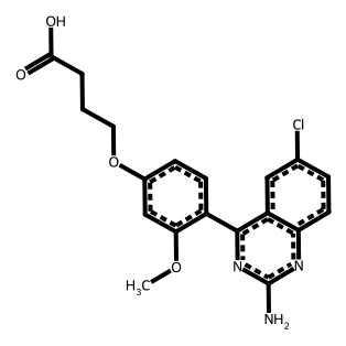 COc1cc(OCCCC(=O)O)ccc1-c1nc(N)nc2ccc(Cl)cc12